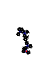 CC1(C)c2cc(-c3ccc(N(c4ccccc4)c4cc5ccc6cccc7c6c5c(c4)n7-c4ccccc4)cc3)ccc2-c2ccc(N(c3ccccc3)c3cc4ccc5cccc6c5c4c(c3)n6-c3ccccc3)cc21